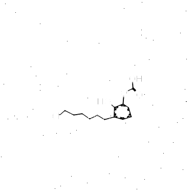 O=C(O)Oc1cccc(CCCCCCCl)c1O